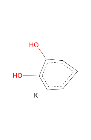 Oc1ccccc1O.[K]